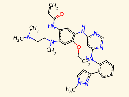 C=CC(=O)Nc1cc(Nc2cc(Nc3ccccc3-c3ccn(C)n3)ncn2)c(OCC(F)(F)F)cc1N(C)CCN(C)C